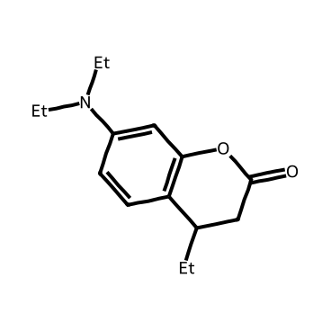 CCC1CC(=O)Oc2cc(N(CC)CC)ccc21